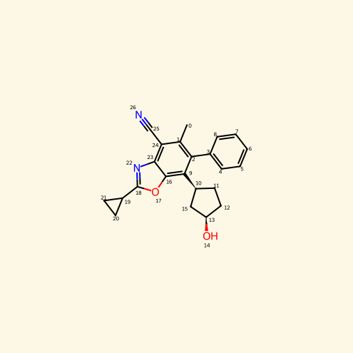 Cc1c(-c2ccccc2)c([C@H]2CC[C@@H](O)C2)c2oc(C3CC3)nc2c1C#N